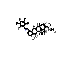 NC(=O)C1=C(O)C[C@@H]2C[C@@H]3Cc4c(/C=C/c5c(F)c(F)c(F)c(F)c5F)ccc(O)c4C(=O)C3=C(O)[C@]2(O)C1=O